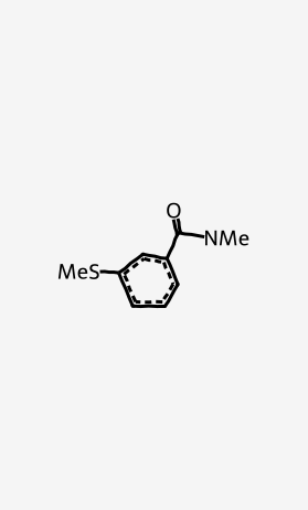 CNC(=O)c1cccc(SC)c1